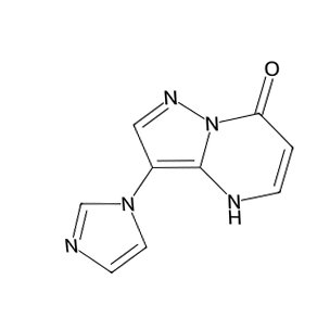 O=c1cc[nH]c2c(-n3ccnc3)cnn12